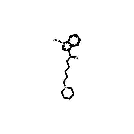 CCCCn1cc(C(=O)CCCCCN2CC[CH]CC2)c2ccccc21